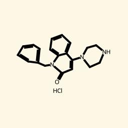 Cl.O=c1cc(N2CCNCC2)c2ccccc2n1Cc1ccccc1